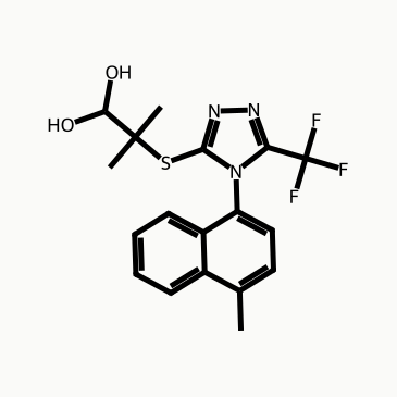 Cc1ccc(-n2c(SC(C)(C)C(O)O)nnc2C(F)(F)F)c2ccccc12